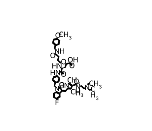 CCN(CC)CCNC(=O)c1c(C)[nH]c(/C=C2\C(=O)N(Cc3ccc(NC(=O)[C@H](CCC(=O)O)NC(=O)CCC(=O)NCc4ccc(OC)cc4)cc3)c3ccc(F)cc32)c1C